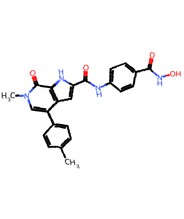 Cc1ccc(-c2cn(C)c(=O)c3[nH]c(C(=O)Nc4ccc(C(=O)NO)cc4)cc23)cc1